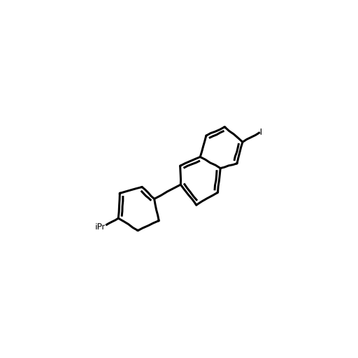 CC(C)C1=CC=C(c2ccc3cc(I)ccc3c2)CC1